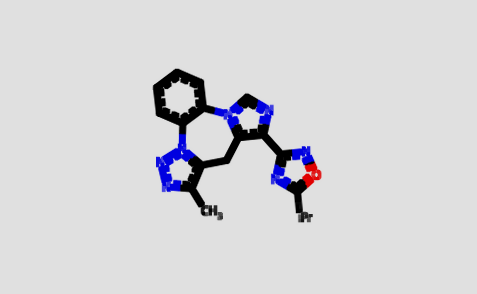 Cc1nnn2c1Cc1c(-c3noc(C(C)C)n3)ncn1-c1ccccc1-2